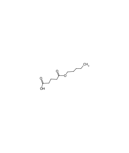 CCCCCOC(=O)CCCC(=O)O